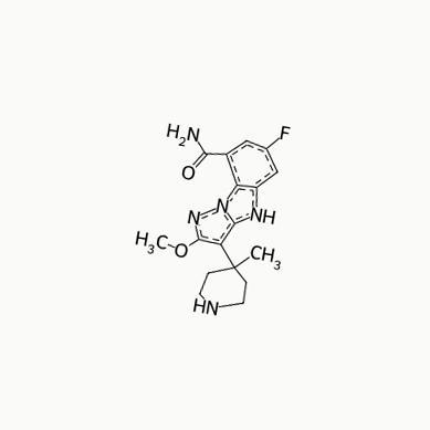 COc1nn2c([nH]c3cc(F)cc(C(N)=O)c32)c1C1(C)CCNCC1